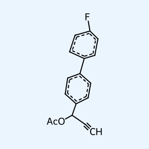 C#CC(OC(C)=O)c1ccc(-c2ccc(F)cc2)cc1